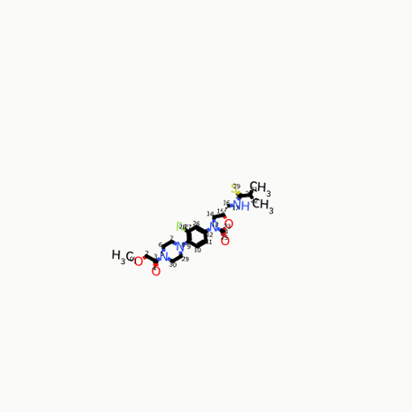 COCC(=O)N1CCN(c2ccc(N3C[C@H](CNC(=S)C(C)C)OC3=O)cc2F)CC1